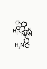 Cc1nc(N2CCC3(CCC[C@H]3N)CC2)n2ncnc2c1-c1cccc(Cl)c1Cl